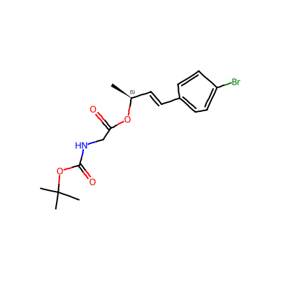 C[C@@H](C=Cc1ccc(Br)cc1)OC(=O)CNC(=O)OC(C)(C)C